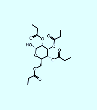 CCC(=O)OC[C@H]1O[C@H](O)[C@H](OC(=O)CC)[C@@H](OC(=O)CC)[C@@H]1OC(=O)CC